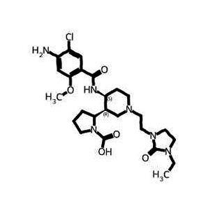 CCN1CCN(CCN2CC[C@H](NC(=O)c3cc(Cl)c(N)cc3OC)[C@H](C3CCCN3C(=O)O)C2)C1=O